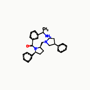 CC(N)c1cccc(C(=O)N2[C@@H](CN3CCC(c4ccccc4)C3)CC[C@H]2c2ccccc2)c1